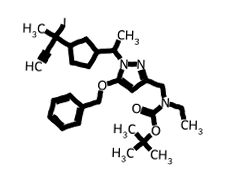 C#CC(C)(I)C1CCC(C(C)n2nc(CN(CC)C(=O)OC(C)(C)C)cc2OCc2ccccc2)C1